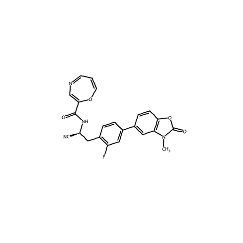 Cn1c(=O)oc2ccc(-c3ccc(C[C@@H](C#N)NC(=O)C4=CN=CC=CO4)c(F)c3)cc21